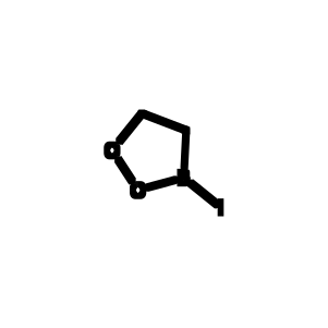 IB1CCOO1